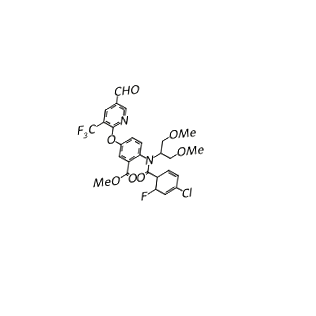 COCC(COC)N(C(=O)C1C=CC(Cl)=CC1F)c1ccc(Oc2ncc(C=O)cc2C(F)(F)F)cc1C(=O)OC